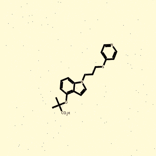 CC(C)(Oc1cccc2c1ccn2CCCSc1ccncc1)C(=O)O